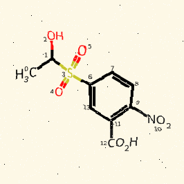 CC(O)S(=O)(=O)c1ccc([N+](=O)[O-])c(C(=O)O)c1